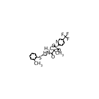 Cc1ccccc1SCCNC(=O)C(C)(C)S(=O)(=O)c1ccc(C(F)(F)F)cn1